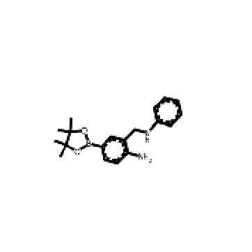 CC1(C)OB(c2ccc(N)c(CNc3ccccc3)c2)OC1(C)C